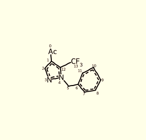 CC(=O)c1cnn(Cc2ccccc2)c1C(F)(F)F